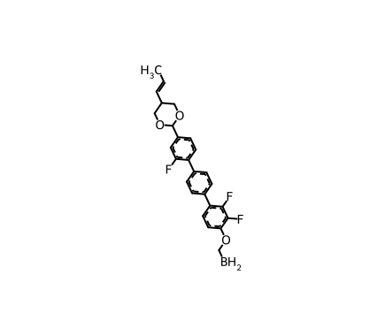 BCOc1ccc(-c2ccc(-c3ccc(C4OCC(/C=C/C)CO4)cc3F)cc2)c(F)c1F